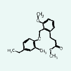 CCc1ccc(OCc2c(CCC(=O)SC)cccc2OC)c(C)c1